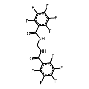 O=C(NCNC(=O)c1c(F)c(F)c(F)c(F)c1F)c1c(F)c(F)c(F)c(F)c1F